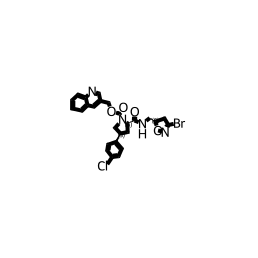 O=C(NC[C@@H]1CC(Br)=NO1)[C@@H]1C[C@@H](c2ccc(Cl)cc2)CN1C(=O)OCc1cnc2ccccc2c1